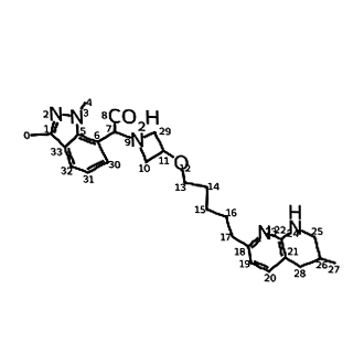 Cc1nn(C)c2c(C(C(=O)O)N3CC(OCCCCCc4ccc5c(n4)NCC(C)C5)C3)cccc12